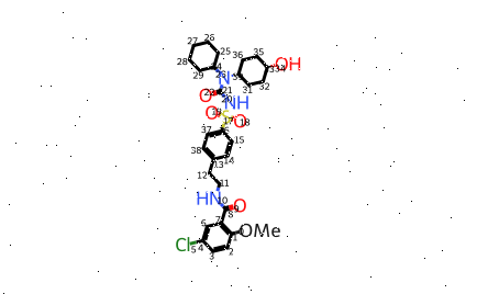 COc1ccc(Cl)cc1C(=O)NCCc1ccc(S(=O)(=O)NC(=O)N(C2CCCCC2)[C@H]2CC[C@H](O)CC2)cc1